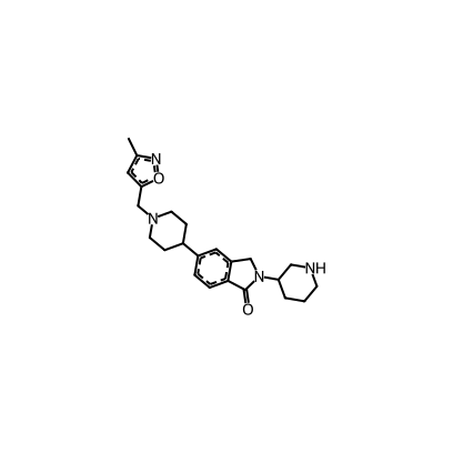 Cc1cc(CN2CCC(c3ccc4c(c3)CN(C3CCCNC3)C4=O)CC2)on1